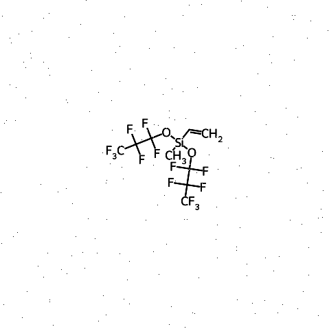 C=C[Si](C)(OC(F)(F)C(F)(F)C(F)(F)F)OC(F)(F)C(F)(F)C(F)(F)F